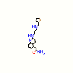 NC(=O)Cc1cccc2nc(NCCCNCc3cccs3)ccc12